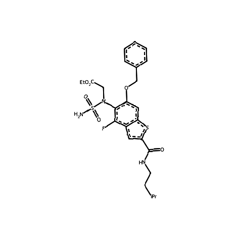 CCOC(=O)CN(c1c(OCc2ccccc2)cc2sc(C(=O)NCCC(C)C)cc2c1F)S(N)(=O)=O